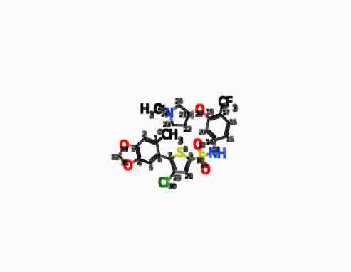 Cc1cc2c(cc1-c1sc(S(=O)(=O)Nc3ccc(C(F)(F)F)c(O[C@@H]4CCN(C)C4)c3)cc1Cl)OCO2